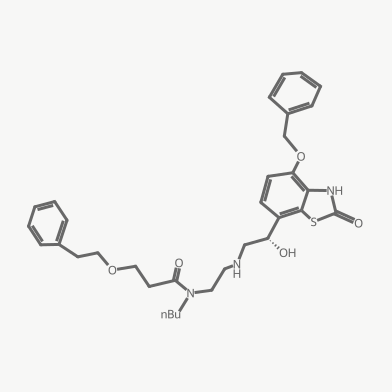 CCCCN(CCNC[C@@H](O)c1ccc(OCc2ccccc2)c2[nH]c(=O)sc12)C(=O)CCOCCc1ccccc1